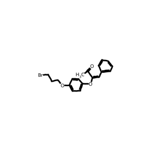 CC(=O)/C(=C\c1ccccc1)Oc1ccc(OCCCBr)cc1